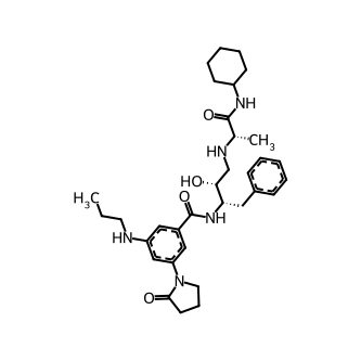 CCCNc1cc(C(=O)N[C@@H](Cc2ccccc2)[C@H](O)CN[C@@H](C)C(=O)NC2CCCCC2)cc(N2CCCC2=O)c1